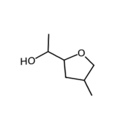 CC1COC(C(C)O)C1